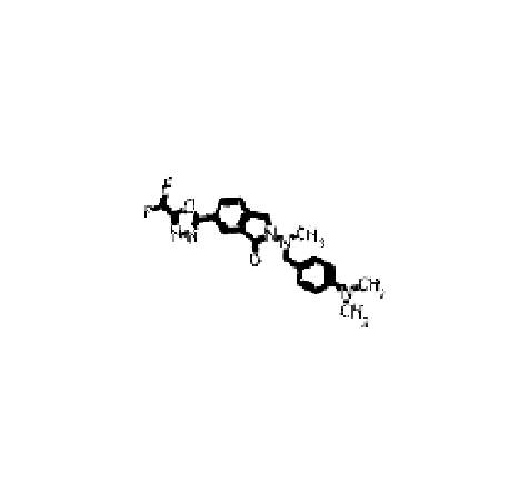 CN(C)c1ccc(CN(C)N2Cc3ccc(-c4nnc(C(F)F)o4)cc3C2=O)cc1